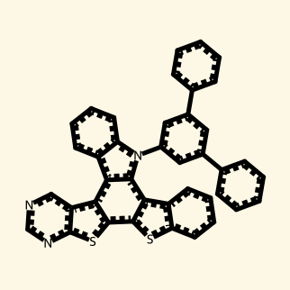 c1ccc(-c2cc(-c3ccccc3)cc(-n3c4ccccc4c4c5c6cncnc6sc5c5sc6ccccc6c5c43)c2)cc1